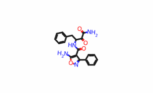 NC(=O)C(=O)C(Cc1ccccc1)NC(=O)c1c(-c2ccccc2)noc1N